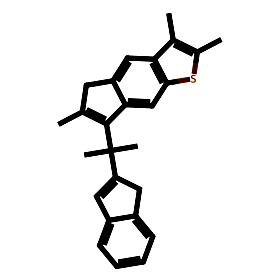 CC1=C(C(C)(C)C2=Cc3ccccc3C2)c2cc3sc(C)c(C)c3cc2C1